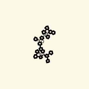 c1ccc(-c2cc(-c3ccccc3)cc(N3c4cccc5c4N(c4ccccc4-c4ccccc4-5)c4c3ccc3cc(-c5ccc6c(c5)Oc5cc(N7c8ccccc8N8c9cc%10ccccc%10cc9-c9ccccc9-c9cccc7c98)ccc5N6c5ccccc5)ccc43)c2)cc1